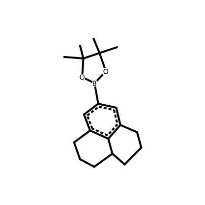 CC1(C)OB(c2cc3c4c(c2)CCCC4CCC3)OC1(C)C